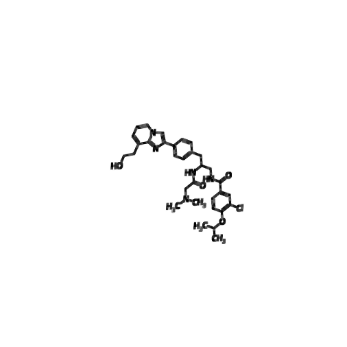 CC(C)Oc1ccc(C(=O)NCC(Cc2ccc(-c3cn4cccc(CCO)c4n3)cc2)NC(=O)CN(C)C)cc1Cl